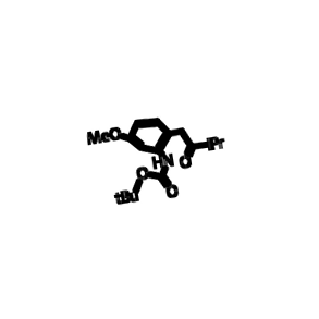 COc1ccc(CC(=O)C(C)C)c(NC(=O)OC(C)(C)C)c1